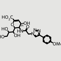 COc1ccc(-c2cn(CC(=O)NC3C(C(O)C(O)CO)OC(C(=O)O)=C[C@H]3O)nn2)cc1